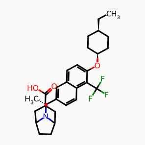 CC[C@H]1CC[C@@H](Oc2ccc3cc([C@@H](C)N4C5CCC4CC(C(=O)O)C5)ccc3c2C(F)(F)F)CC1